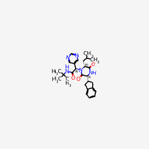 CC(C)C[C@@H]1C(=O)N[C@H](C2Cc3ccccc3C2)C(=O)N1[C@@H](C(=O)NC(C)(C)C)c1cncnc1